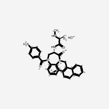 CN[C@@H](C)C(=O)N[C@H]1CN(C(=O)c2ccc(N)cc2)c2ccccc2N(Cc2c(OC)ccc3ccccc23)C1=O.Cl